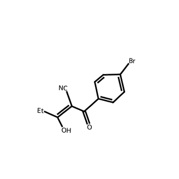 CC/C(O)=C(\C#N)C(=O)c1ccc(Br)cc1